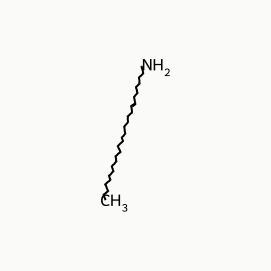 CCCCCCCCCCCCCCCCCCCC=CCCCCCCCN